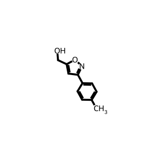 Cc1ccc(-c2cc(CO)on2)cc1